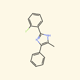 Cc1[nH]c(-c2ccccc2F)nc1-c1ccccc1